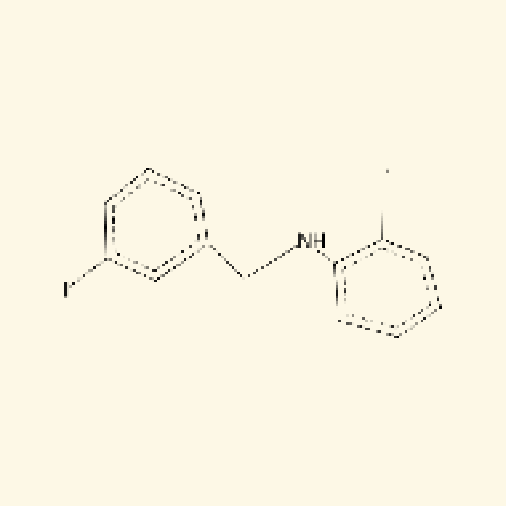 [CH2]c1ccccc1NCc1cccc(I)c1